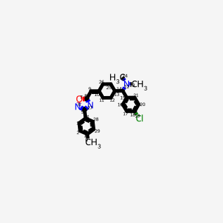 Cc1ccc(-c2noc(C=C3CCC(C(c4ccc(Cl)cc4)N(C)C)CC3)n2)cc1